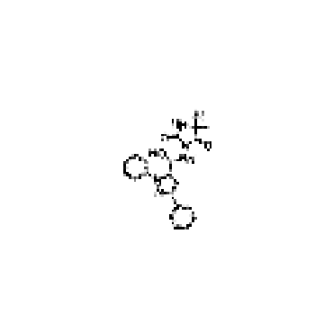 CCC1(C)NC(=O)N(NC(O)c2cc(-c3ccccc3)nn2-c2ccccc2)C1=O